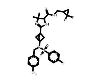 CC1(C)N=C(C23CC(N(Cc4ccc(C(F)(F)F)cc4)S(=O)(=O)c4ccc(F)cc4)(C2)C3)NC1C(=O)NCC1CC1(F)F